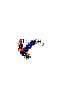 CCOc1ccc(S(=O)(=O)c2cnc3ccc(OC(F)(F)F)cc3c2N2CCC(N3CCN(C4CCN(CC)CC4)CC3)CC2)cc1